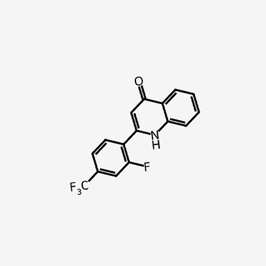 O=c1cc(-c2ccc(C(F)(F)F)cc2F)[nH]c2ccccc12